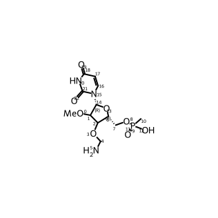 COC1C(OCN)[C@@H](COP(C)(=O)O)O[C@H]1n1ccc(=O)[nH]c1=O